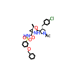 C=C[C@@H]1C[C@]1(NC(=O)C1CN(C(C)=O)C[C@H]1Cc1ccc(Cl)cc1)C(=O)NS(=O)(=O)c1cccc(OCc2ccccc2)c1